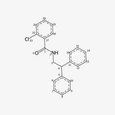 O=C(NCC(c1ccccc1)c1ccccc1)c1ccccc1Cl